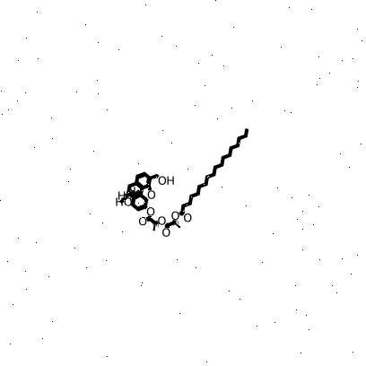 CCCCCCCCCCCCCCCCCC(=O)O[C@@H](C)C(=O)O[C@@H](C)C(=O)OC1=CC[C@@]2(O)[C@H]3Cc4ccc(CO)c5c4C2(CCN3C)C1O5